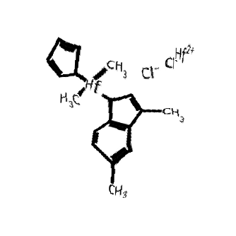 CC1=C[CH]([Hf]([CH3])([CH3])[CH]2C=CC=C2)c2ccc(C)cc21.[Cl-].[Cl-].[Hf+2]